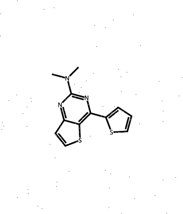 CN(C)c1nc(-c2cccs2)c2sccc2n1